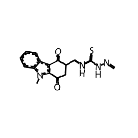 C=NNC(=S)NCC1CC(=O)c2c(c3ccccc3n2C)C1=O